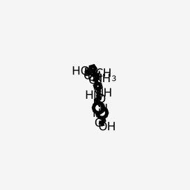 C[C@@H](NC(=O)c1ccc(NNC(=O)CN2CCCN3CCC(CC(=O)O)CCCN(CC3)CC2)cc1)C(=O)N1CCC[C@H]1B(O)O